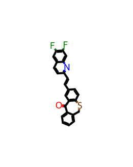 O=C1c2ccccc2CSc2ccc(C=Cc3ccc4cc(F)c(F)cc4n3)cc21